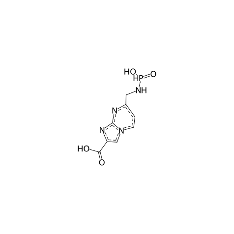 O=C(O)c1cn2ccc(CN[PH](=O)O)nc2n1